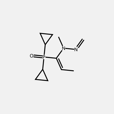 C=NN(C)/C(=C\C)P(=O)(C1CC1)C1CC1